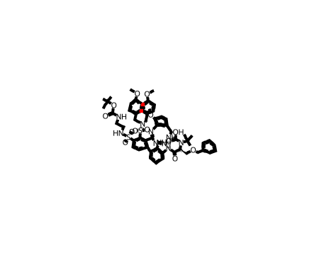 COc1ccc(CN(Cc2ccc(OC)cc2)S(=O)(=O)c2c(S(=O)(=O)NCCNC(=O)OC(C)(C)C)ccc(-c3cccc(NC(=O)[C@H](COCc4ccccc4)N(C(=O)O)C(C)(C)C)c3N)c2C2=Nc3cc(ccc3OC)CNN=N2)cc1